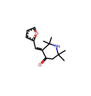 CC1(C)CC(=O)/C(=C/c2ccco2)C(C)(C)N1